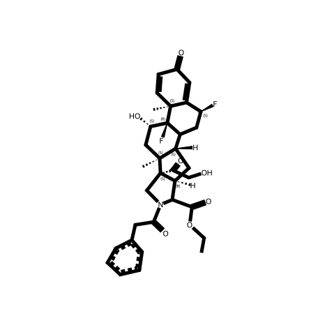 CCOC(=O)C1[C@@H]2C[C@H]3C4C[C@H](F)C5=CC(=O)C=C[C@]5(C)[C@@]4(F)[C@@H](O)C[C@]3(C)[C@]2(C(=O)CO)CN1C(=O)Cc1ccccc1